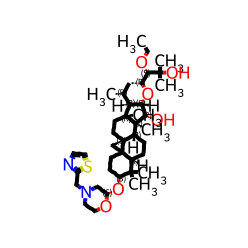 CCO[C@@H]([C@H]1C[C@@H](C)[C@H]2[C@H](O1)[C@H](O)[C@@]1(C)[C@@H]3CC[C@H]4C(C)(C)[C@@H](O[C@H]5CN(Cc6nccs6)CCO5)CCC45C[C@@]35CC[C@]21C)C(C)(C)O